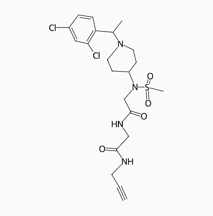 C#CCNC(=O)CNC(=O)CN(C1CCN(C(C)c2ccc(Cl)cc2Cl)CC1)S(C)(=O)=O